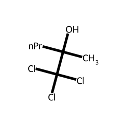 CCCC(C)(O)C(Cl)(Cl)Cl